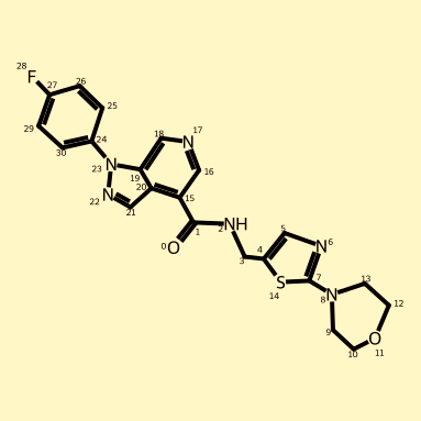 O=C(NCc1cnc(N2CCOCC2)s1)c1cncc2c1cnn2-c1ccc(F)cc1